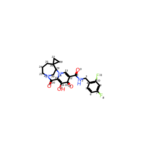 O=C(NCc1ccc(F)cc1F)c1cn2c(c(O)c1=O)C(=O)N1CCCC3(CC3)C2C1